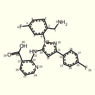 NCc1ccc(F)cc1-n1nc(-c2ccc(F)cc2)cc1Nc1ncccc1C(=O)O